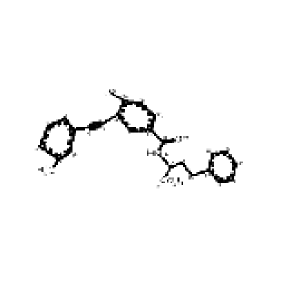 Cc1cccc(C#Cc2cc(C(=O)NC(CCc3ccccc3)C(=O)O)ccc2Cl)c1